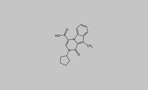 Cc1c2ccccc2n2c(C(=O)O)cn(C3CCCC3)c(=O)c12